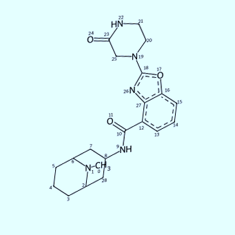 CN1C2CCCC1CC(NC(=O)c1cccc3oc(N4CCNC(=O)C4)nc13)C2